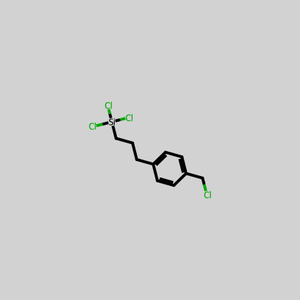 ClCc1ccc(CCC[Si](Cl)(Cl)Cl)cc1